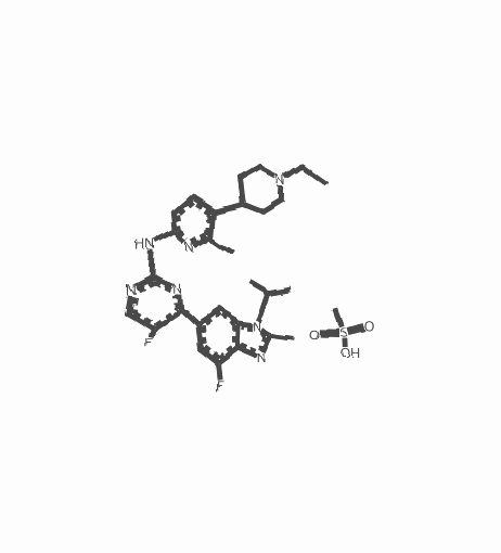 CCN1CCC(c2ccc(Nc3ncc(F)c(-c4cc(F)c5nc(C)n(C(C)C)c5c4)n3)nc2C)CC1.CS(=O)(=O)O